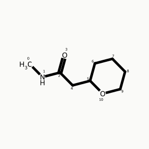 CNC(=O)CC1CCCCO1